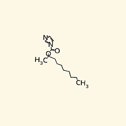 CCCCCCCCC(C)OC(=O)n1ccnc1